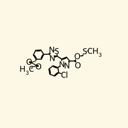 CSCOC(=O)c1cc(-c2nc(-c3cccc(S(C)(=O)=O)c3)ns2)n(-c2ccccc2Cl)n1